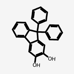 Oc1cc2c(cc1O)C(c1ccccc1)(c1ccccc1)c1ccccc1-2